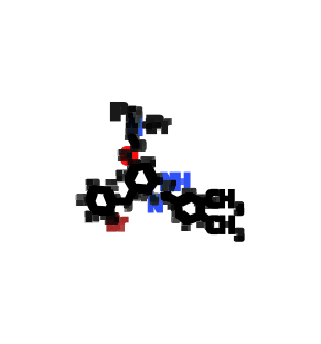 Cc1ccc(-c2nc3c(Cc4ccccc4Br)cc(OCCN(C(C)C)C(C)C)cc3[nH]2)cc1C